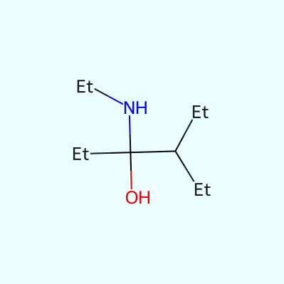 CCNC(O)(CC)C(CC)CC